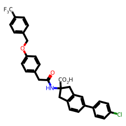 O=C(Cc1ccc(OCc2ccc(C(F)(F)F)cc2)cc1)NC1(C(=O)O)Cc2ccc(-c3ccc(Cl)cc3)cc2C1